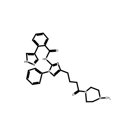 CN1CCN(C(=O)CCCc2cn(-c3ccccc3)c(NC(=O)c3ccccc3-c3cn[nH]c3)n2)CC1